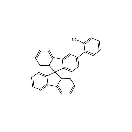 N#Cc1ccccc1-c1ccc2c(c1)-c1ccccc1C21c2ccccc2-c2ccccc21